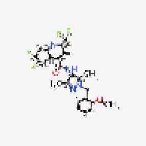 COc1ccccc1Cn1nc(C)c(NC(=O)c2cc(C(F)(F)F)nc3cc(F)c(F)cc23)c1C